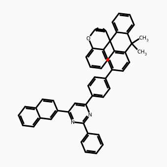 CC1(C)c2ccccc2C2(c3ccccc3Oc3ccccc32)c2cc(-c3ccc(-c4cc(-c5ccc6ccccc6c5)nc(-c5ccccc5)n4)cc3)ccc21